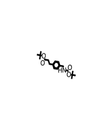 CC(C)(C)OC(=O)CCc1ccc(CNC(=O)OC(C)(C)C)cc1